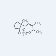 CC(=CCC1(C)CCCC1(C)C)C(C)O